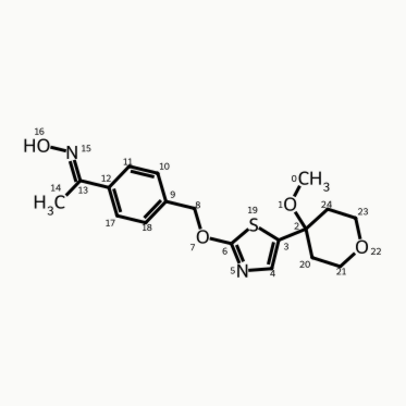 COC1(c2cnc(OCc3ccc(/C(C)=N/O)cc3)s2)CCOCC1